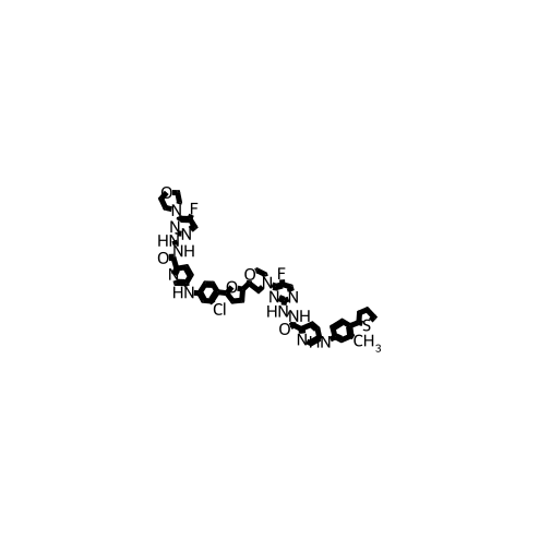 Cc1cc(Nc2ccc(C(=O)NNc3ncc(F)c(N4CCOC(C5CCC(c6ccc(Nc7ccc(C(=O)NNc8ncc(F)c(N9CCOCC9)n8)nc7)cc6Cl)O5)C4)n3)nc2)ccc1C1CCCS1